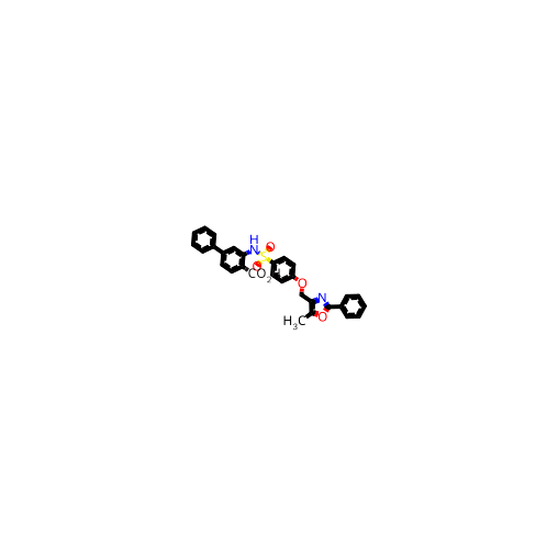 Cc1oc(-c2ccccc2)nc1COc1ccc(S(=O)(=O)Nc2cc(-c3ccccc3)ccc2C(=O)O)cc1